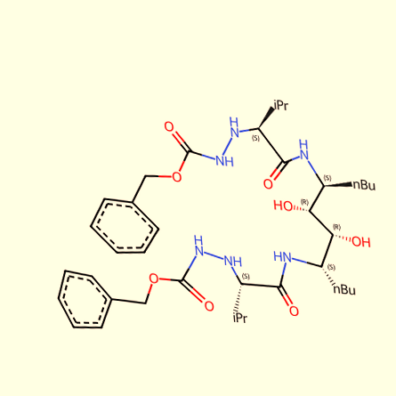 CCCC[C@H](NC(=O)[C@@H](NNC(=O)OCc1ccccc1)C(C)C)[C@@H](O)[C@H](O)[C@H](CCCC)NC(=O)[C@@H](NNC(=O)OCc1ccccc1)C(C)C